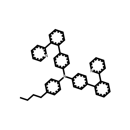 CCCCc1ccc(N(c2ccc(-c3ccccc3-c3ccccn3)cc2)c2ccc(-c3ccccc3-c3ccccn3)cc2)cc1